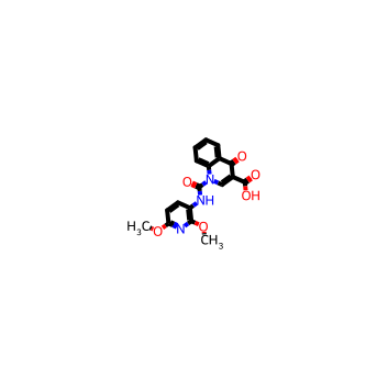 COc1ccc(NC(=O)n2cc(C(=O)O)c(=O)c3ccccc32)c(OC)n1